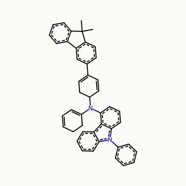 CC1(C)c2ccccc2-c2cc(C3=CCC(N(C4=CC=CCC4)c4cccc5c4c4ccccc4n5-c4ccccc4)C=C3)ccc21